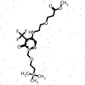 COC(=O)CCOCCNc1cnn(COCC[Si](C)(C)C)c(=O)c1C(F)(F)F